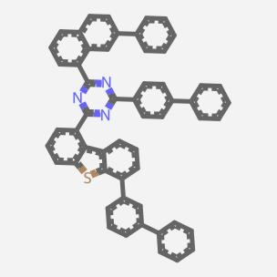 c1ccc(-c2ccc(-c3nc(-c4cccc5ccc(-c6ccccc6)cc45)nc(-c4cccc5sc6c(-c7cccc(-c8ccccc8)c7)cccc6c45)n3)cc2)cc1